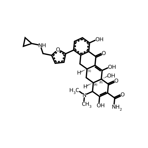 CN(C)C1C(O)=C(C(N)=O)C(=O)[C@]2(O)C(O)=C3C(=O)c4c(O)ccc(-c5ccc(CNC6CC6)o5)c4C[C@@H]3C[C@H]12